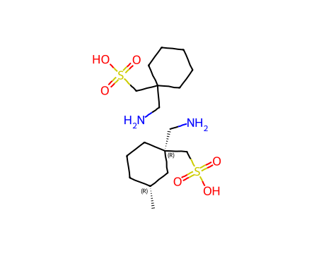 C[C@@H]1CCC[C@@](CN)(CS(=O)(=O)O)C1.NCC1(CS(=O)(=O)O)CCCCC1